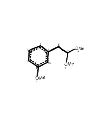 COc1cccc(CC(OC)OC)c1